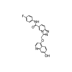 O=C(Nc1ccc(F)cc1)c1ccc2nnc(COc3ccnc4cc(O)ccc34)n2c1